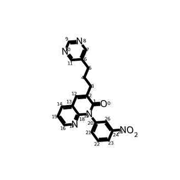 O=c1c(CCCc2cncnc2)cc2cccnc2n1-c1cccc([N+](=O)[O-])c1